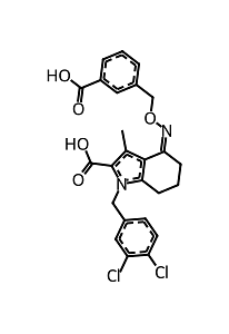 Cc1c2c(n(Cc3ccc(Cl)c(Cl)c3)c1C(=O)O)CCC/C2=N/OCc1cccc(C(=O)O)c1